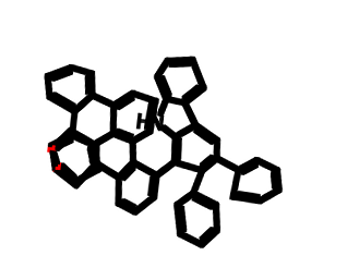 c1ccc(-c2cccc(-c3c(-c4ccccc4)c(-c4ccccc4)cc4c3[nH]c3ccccc34)c2-c2cccc3c4ccccc4c4ccccc4c23)cc1